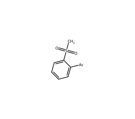 [CH2]C(=O)c1ccccc1S(C)(=O)=O